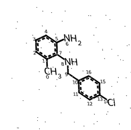 Cc1cccc(N)c1NCc1ccc(Cl)cc1